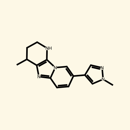 CC1CCNc2c1nc1ccc(-c3cnn(C)c3)cn21